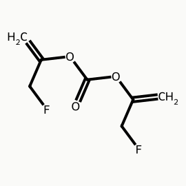 C=C(CF)OC(=O)OC(=C)CF